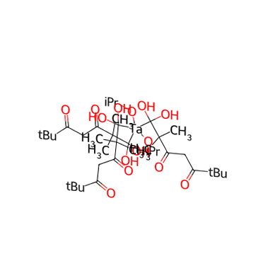 CC(C)[O][Ta]([O]C(C)C)([C](O)(O)C(C)(C)C(=O)CC(=O)C(C)(C)C)([C](O)(O)C(C)(C)C(=O)CC(=O)C(C)(C)C)[C](O)(O)C(C)(C)C(=O)CC(=O)C(C)(C)C